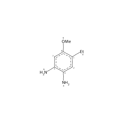 CCc1cc(N)c(N)cc1OC